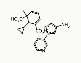 CC1(C(=O)O)C=CC=C(C(=O)O)C1C1CC1.Nc1cnn(-c2cccnc2)c1